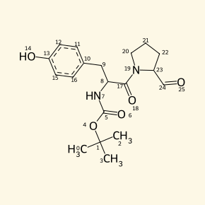 CC(C)(C)OC(=O)NC(Cc1ccc(O)cc1)C(=O)N1CCCC1C=O